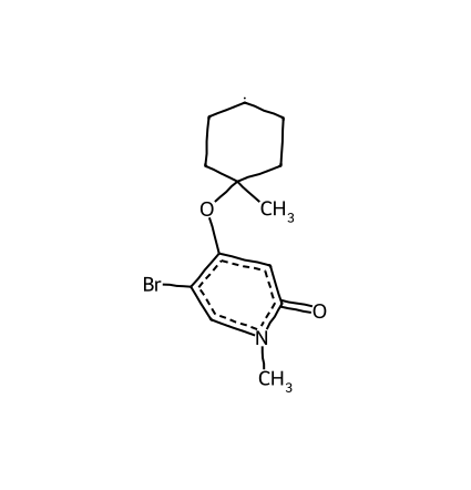 Cn1cc(Br)c(OC2(C)CC[CH]CC2)cc1=O